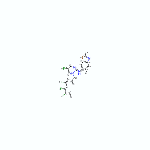 C=C/C(F)=C(/F)C/C(F)=C\C(=C)CN1C=C(F)CN=C1Nc1cc2sc(C)nc2cc1C